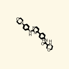 O=C(Nc1ccc(-c2ccnc(Nc3ccc(N4CCOCC4)cc3)n2)cc1)C1COCCN1